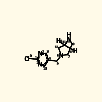 Clc1ncc(CN2C[C@H]3CN[C@H]3C2)cn1